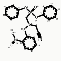 N#CCN(CP(=O)(Oc1ccccc1)Oc1ccccc1)Sc1ccccc1[N+](=O)[O-]